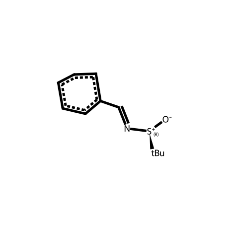 CC(C)(C)[S@+]([O-])N=Cc1ccccc1